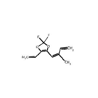 C=CC1=C(/C=C(/C)C=C)OC(F)(F)O1